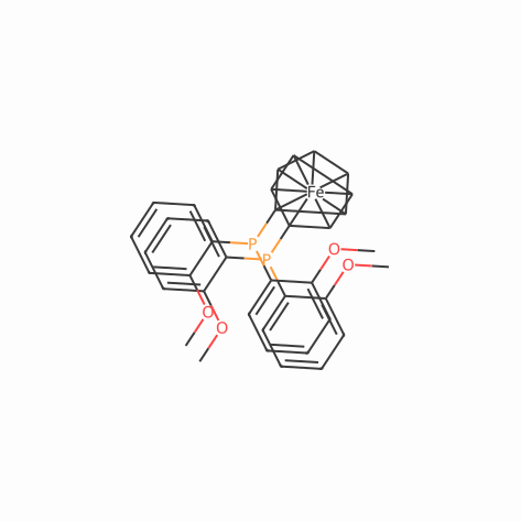 COc1ccccc1P(c1ccccc1OC)[C]12[CH]3[CH]4[CH]5[CH]1[Fe]45321678[CH]2[CH]1[CH]6[C]7(P(c1ccccc1OC)c1ccccc1OC)[CH]28